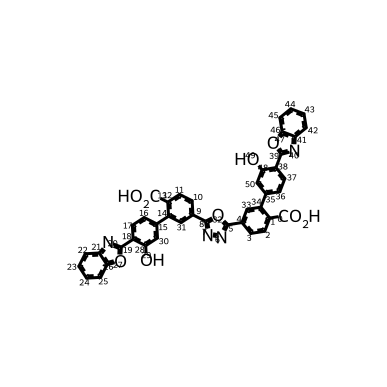 O=C(O)c1ccc(-c2nnc(-c3ccc(C(=O)O)c(-c4ccc(-c5nc6ccccc6o5)c(O)c4)c3)o2)cc1-c1ccc(-c2nc3ccccc3o2)c(O)c1